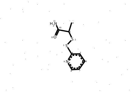 CC(SSc1ccccn1)C(N)=O